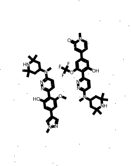 CN(c1ccc(-c2c(O)cc(-c3ccn(C)c(=O)c3)cc2OC(F)(F)F)nn1)C1CC(C)(C)NC(C)(C)C1.COc1cc(-c2cnn(C)c2)cc(O)c1-c1ccc(N(C)C2CC(C)(C)NC(C)(C)C2)nn1